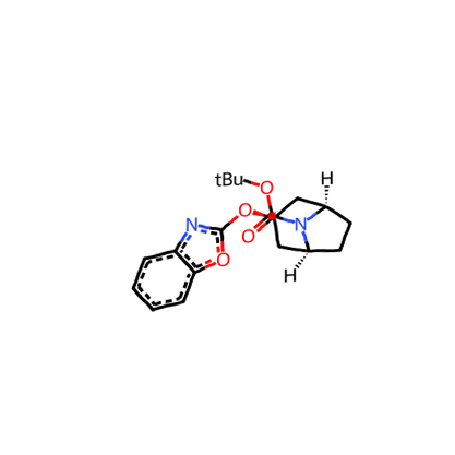 CC(C)(C)OC(=O)N1[C@@H]2CC[C@H]1C[C@@H](Oc1nc3ccccc3o1)C2